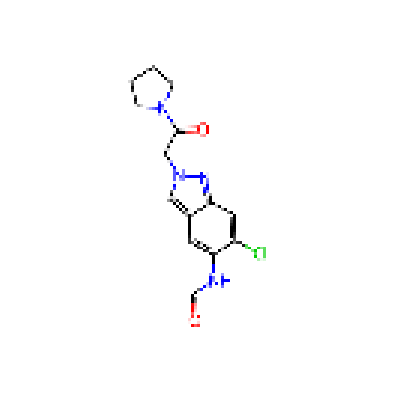 O=CNc1cc2cn(CC(=O)N3CCCC3)nc2cc1Cl